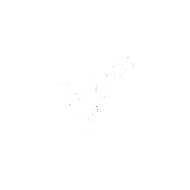 C/C(C(=O)Nc1ccc2ncsc2c1)=C(/O)[C@@H]1Oc2c(O)ccc3c2[C@@]12CCN(CC1CC1)[C@H](C3)[C@@]2(C)O